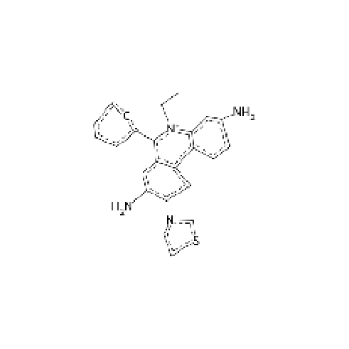 CC[n+]1c(-c2ccccc2)c2cc(N)ccc2c2ccc(N)cc21.c1cscn1